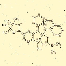 COc1ncc(B2OC(C)(C)C(C)(C)O2)cc1C(c1ccccc1)C(CCN(C)C)(ON)c1cccc2ccccc12